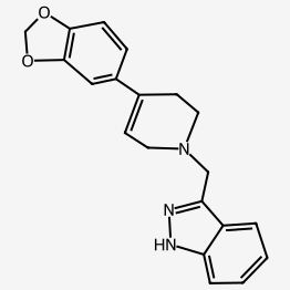 C1=C(c2ccc3c(c2)OCO3)CCN(Cc2n[nH]c3ccccc23)C1